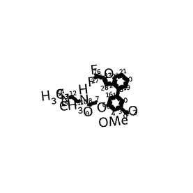 COC(=O)c1cc(OCC(=O)NCCN(C)C)cc(-c2cccc3oc(C(F)F)cc23)c1